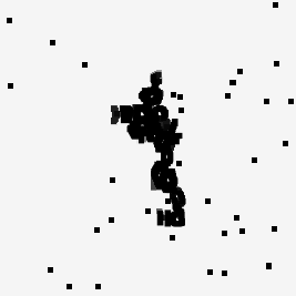 O=c1c(-c2ccc(F)cc2)c[nH]c2ccnc(Nc3ccc(Oc4ccnc5cc(OCCO)ccc45)c(F)c3)c12